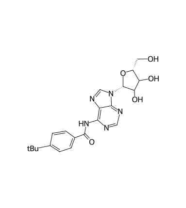 CC(C)(C)c1ccc(C(=O)Nc2ncnc3c2ncn3[C@@H]2O[C@H](CO)C(O)C2O)cc1